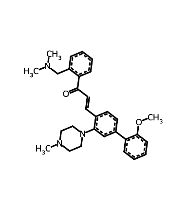 COc1ccccc1-c1ccc(C=CC(=O)c2ccccc2CN(C)C)c(N2CCN(C)CC2)c1